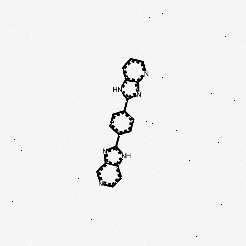 c1cnc2nc(-c3ccc(-c4nc5cnccc5[nH]4)cc3)[nH]c2c1